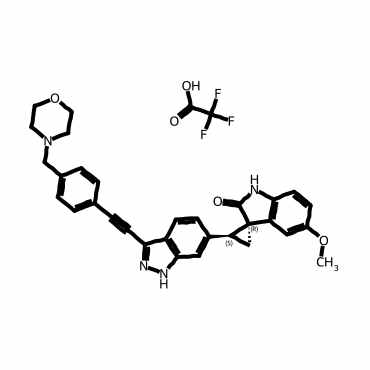 COc1ccc2c(c1)[C@]1(C[C@H]1c1ccc3c(C#Cc4ccc(CN5CCOCC5)cc4)n[nH]c3c1)C(=O)N2.O=C(O)C(F)(F)F